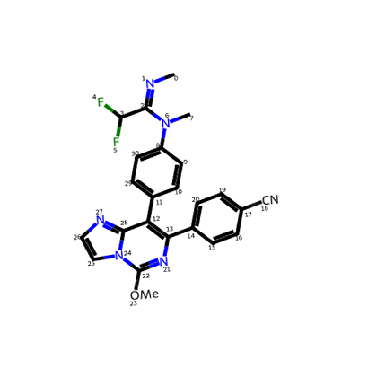 C/N=C(/C(F)F)N(C)c1ccc(-c2c(-c3ccc(C#N)cc3)nc(OC)n3ccnc23)cc1